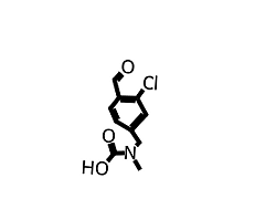 CN(Cc1ccc(C=O)c(Cl)c1)C(=O)O